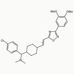 COc1ccc(-c2noc(/C=C/C3CCC(C(c4ccc(Cl)cc4)N(C)C)CC3)n2)cc1OC